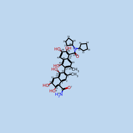 Cc1cc2c(C(N)=O)c(O)c(O)cc2c(O)c1-c1c(C)cc2c(C(=O)N(C3CCCC3)C3CCCC3)c(O)c(O)cc2c1O